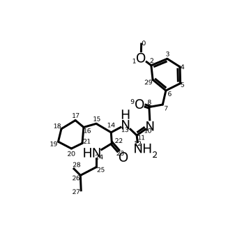 COc1cccc(CC(=O)N=C(N)NC(CC2CCCCC2)C(=O)NCC(C)C)c1